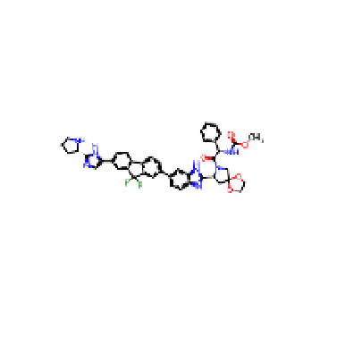 COC(=O)N[C@@H](C(=O)N1CC2(C[C@H]1c1nc3ccc(-c4ccc5c(c4)C(F)(F)c4cc(-c6cnc([C@@H]7CCCN7)[nH]6)ccc4-5)cc3[nH]1)OCCO2)c1ccccc1